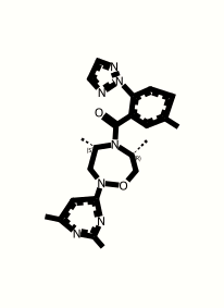 Cc1ccc(-n2nccn2)c(C(=O)N2[C@H](C)CON(c3cc(C)nc(C)n3)C[C@@H]2C)c1